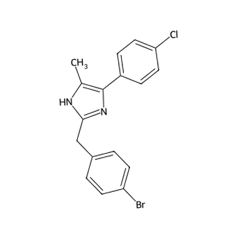 Cc1[nH]c(Cc2ccc(Br)cc2)nc1-c1ccc(Cl)cc1